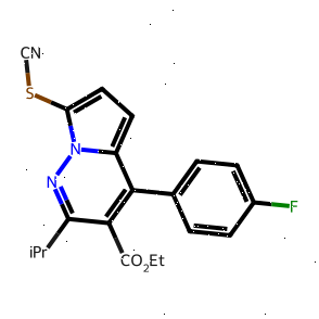 CCOC(=O)c1c(C(C)C)nn2c(SC#N)ccc2c1-c1ccc(F)cc1